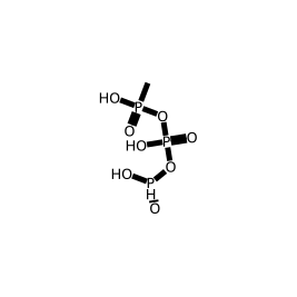 CP(=O)(O)OP(=O)(O)O[PH](=O)O